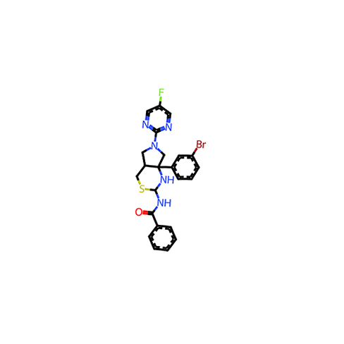 O=C(NC1NC2(c3cccc(Br)c3)CN(c3ncc(F)cn3)CC2CS1)c1ccccc1